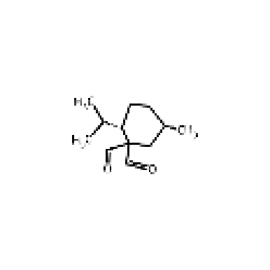 CC(C)[C@@H]1CC[C@@H](C)CC1(C=O)C=O